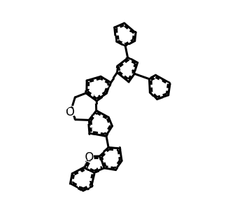 c1ccc(-c2cc(-c3ccccc3)cc(-c3ccc4c(c3)-c3ccc(-c5cccc6c5oc5ccccc56)cc3COC4)c2)cc1